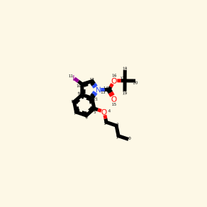 CCCCOc1cccc2c(I)cn(C(=O)OC(C)(C)C)c12